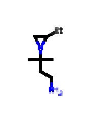 CCC1CN1C(C)(C)CCN